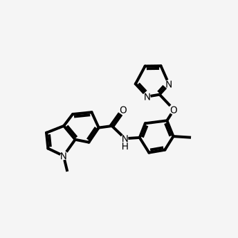 Cc1ccc(NC(=O)c2ccc3ccn(C)c3c2)cc1Oc1ncccn1